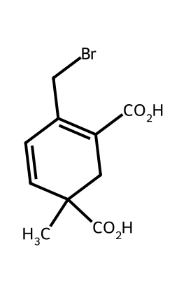 CC1(C(=O)O)C=CC(CBr)=C(C(=O)O)C1